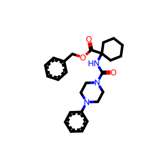 O=C(NC1(C(=O)OCc2ccccc2)CCCCC1)N1CCN(c2ccccc2)CC1